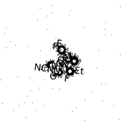 CCc1cc(F)cc(N(C(=O)[C@@H]2CCC(=O)N2c2nccc(C#N)n2)[C@H](C(=O)NC2CCC(F)(F)CC2)c2ccccc2Cl)c1